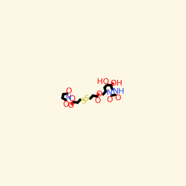 O=C(CCSSCCC(=O)ON1C(=O)CCC1=O)OCC1CC(O)C(O)C2NC(=O)C(=O)N12